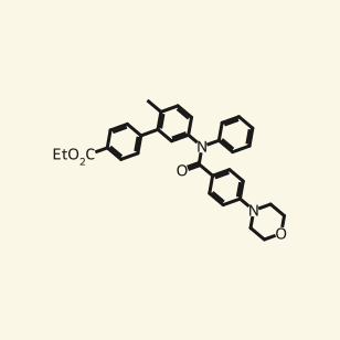 CCOC(=O)c1ccc(-c2cc(N(C(=O)c3ccc(N4CCOCC4)cc3)c3ccccc3)ccc2C)cc1